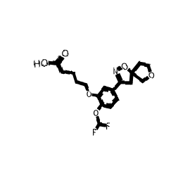 O=C(O)CCCCOc1cc(C2=NOC3(CCOC3)C2)ccc1OC(F)F